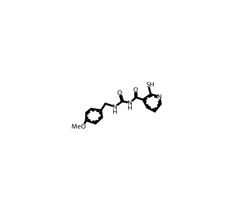 COc1ccc(CNC(=O)NC(=O)c2cccnc2S)cc1